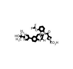 CC(C)(O)c1ncc(-c2ccc3c(c2)=C[N@@+]24C[C@@H](N=3)C2N(C(=O)C2CN(C(=O)O)C2)c2cccc(OC(F)F)c24)cn1